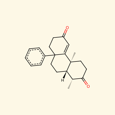 C[C@H]1C(=O)CC[C@]2(C)C3=CC(=O)CCC3(c3ccccc3)CC[C@@H]12